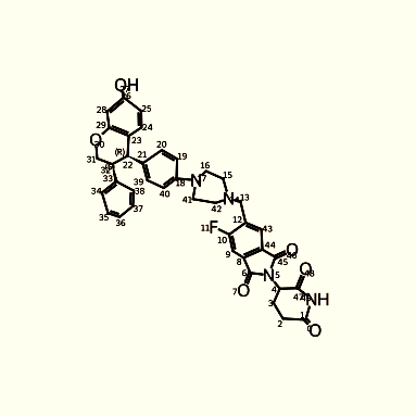 O=C1CCC(N2C(=O)c3cc(F)c(CN4CCN(c5ccc([C@@H]6c7ccc(O)cc7OC[C@@H]6c6ccccc6)cc5)CC4)cc3C2=O)C(=O)N1